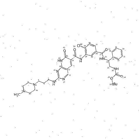 CN1CCN(CCCNc2ncc3cc(C(=O)Nc4cc(C(=O)NC(CNC(=O)OC(C)(C)C)c5ccccc5)ccc4Cl)c(=O)[nH]c3n2)CC1